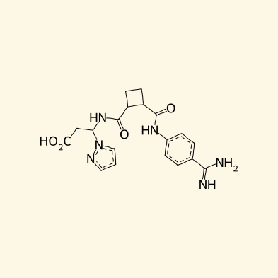 N=C(N)c1ccc(NC(=O)C2CCC2C(=O)NC(CC(=O)O)n2cccn2)cc1